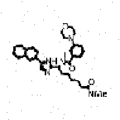 CNC(=O)CCCCCC(NC(=O)c1cccc(N2CCOCC2)c1)c1ncc(-c2ccc3ccccc3c2)[nH]1